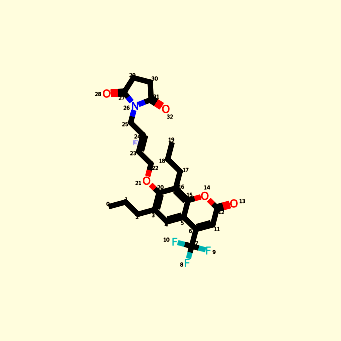 CCCc1cc2c(C(F)(F)F)cc(=O)oc2c(CCC)c1OC/C=C/CN1C(=O)CCC1=O